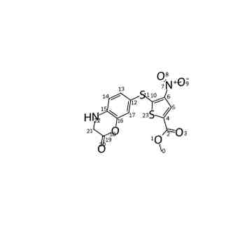 COC(=O)c1cc([N+](=O)[O-])c(Sc2ccc3c(c2)OC(=O)CN3)s1